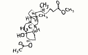 COC(=O)CCC[C@@H](C)[C@H]1CC[C@H]2[C@@H]3CCC4(O)C[C@@H](OC(C)=O)CC[C@]4(C)[C@H]3CC[C@]12C